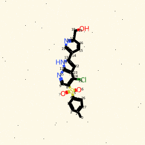 Cc1ccc(S(=O)(=O)c2cnc3[nH]c(-c4ccc(CO)nc4)cc3c2Cl)cc1